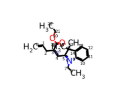 C=CC/C(=C/C1=[N+](CC)c2ccccc2C1(C)C)C(=O)OCC